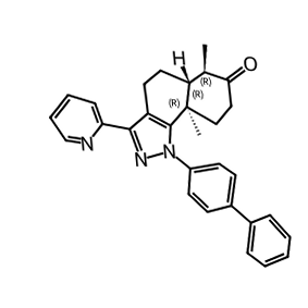 C[C@H]1C(=O)CC[C@@]2(C)c3c(c(-c4ccccn4)nn3-c3ccc(-c4ccccc4)cc3)CC[C@H]12